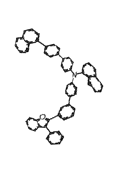 c1ccc(-c2c(-c3cccc(-c4ccc(N(c5ccc(-c6ccc(-c7cccc8ccccc78)cc6)cc5)c5cccc6ccccc56)cc4)c3)oc3ccccc23)cc1